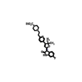 CCOC(=O)N1CCN(CCc2ccc(C3=C/C(=C4\C(=O)Nc5cc(F)ccc54)OC3(C)C)cn2)CC1